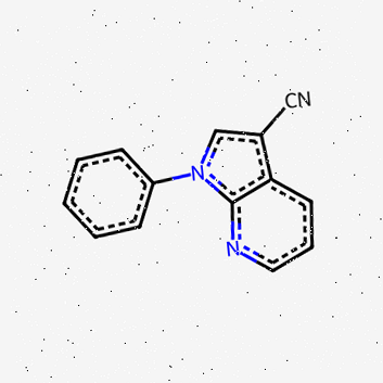 N#Cc1cn(-c2ccccc2)c2ncccc12